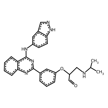 CC(C)NCC(C=O)Oc1cccc(-c2nc(Nc3ccc4[nH]ncc4c3)c3ccccc3n2)c1